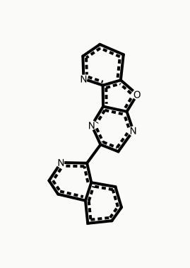 c1ccc2c(-c3cnc4oc5cccnc5c4n3)nccc2c1